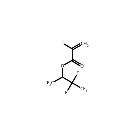 C=C(F)C(=O)OC(C(F)(F)F)C(F)(F)C(F)(F)F